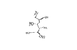 CCC(O)[C@@H](O)C(O)C(O)C=O